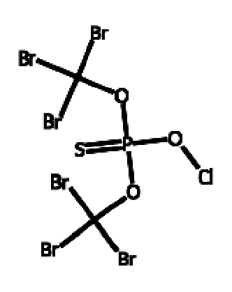 S=P(OCl)(OC(Br)(Br)Br)OC(Br)(Br)Br